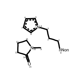 CCCCCCCCCCCCn1cccc1.CN1CCCC1=O